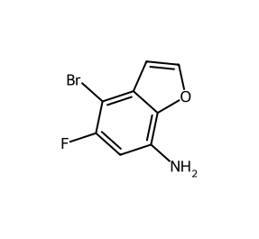 Nc1cc(F)c(Br)c2ccoc12